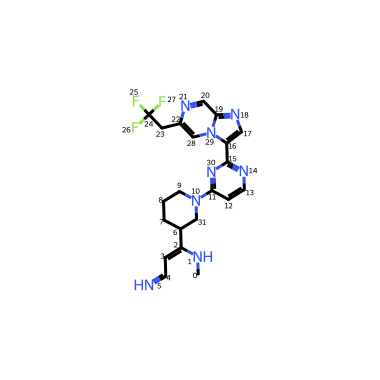 CN/C(=C\C=N)C1CCCN(c2ccnc(-c3cnc4cnc(CC(F)(F)F)cn34)n2)C1